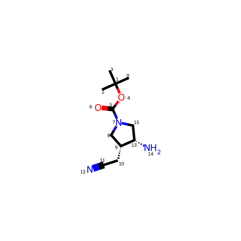 CC(C)(C)OC(=O)N1C[C@@H](CC#N)[C@@H](N)C1